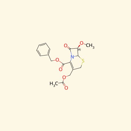 CO[C@@H]1C(=O)N2C(C(=O)OCc3ccccc3)=C(COC(C)=O)CSC12